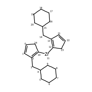 C1=CC(CC2CCCCC2)=[C]([Zr][C]2=C(CC3CCCCC3)C=CC2)C1